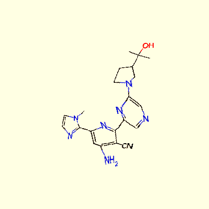 Cn1ccnc1-c1cc(N)c(C#N)c(-c2cncc(N3CCC(C(C)(C)O)C3)n2)n1